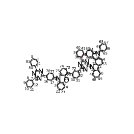 c1ccc(-c2nc(-c3ccccc3)nc(-c3ccc(N4c5ccccc5Oc5c(-c6cccc(-c7nc(-c8ccccc8)nc(-n8c9ccccc9c9ccc%10c(c%11ccccc%11n%10-c%10ccccc%10)c98)n7)c6)cccc54)cc3)n2)cc1